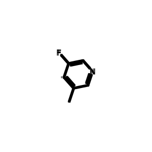 Cc1[c]c(F)cnc1